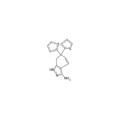 Nc1n[nH]c2c1C=CC(c1cccs1)(c1cccs1)C2